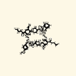 CCCCC(=O)c1cc(C#N)c(N2CCC(C(=O)NS(=O)(=O)Cc3ccc(OC)cc3)CC2)nc1SC.CCCCC(=O)c1cc(C#N)c(N2CCC(C(=O)NS(=O)(=O)Cc3ccccc3)CC2)nc1SC